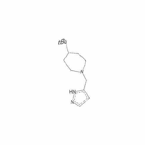 CC(C)(C)C1CCN(Cc2ccn[nH]2)CC1